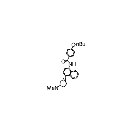 CCCCOc1ccc(C(=O)Nc2ccc(N3CCC(NC)C3)c3ccccc23)cc1